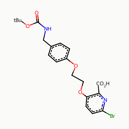 CC(C)(C)OC(=O)NCc1ccc(OCCOc2ccc(Br)nc2C(=O)O)cc1